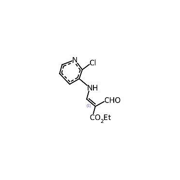 CCOC(=O)/C(C=O)=C/Nc1cccnc1Cl